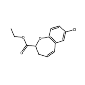 CCOC(=O)C1CC=Cc2cc(Cl)ccc2O1